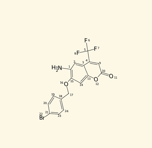 Nc1cc2c(C(F)(F)F)cc(=O)oc2cc1OCc1ccc(Br)cc1